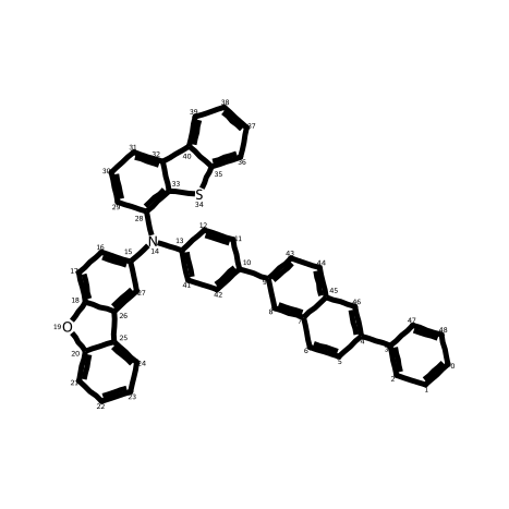 c1ccc(-c2ccc3cc(-c4ccc(N(c5ccc6oc7ccccc7c6c5)c5cccc6c5sc5ccccc56)cc4)ccc3c2)cc1